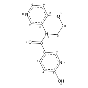 O=C(c1ccc(O)nc1)N1CCOc2ccncc21